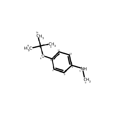 CNc1ccc(OC(C)(C)C)cc1